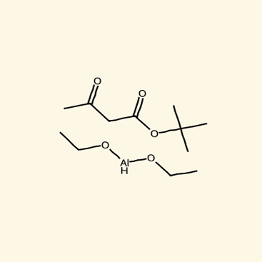 CC(=O)CC(=O)OC(C)(C)C.CC[O][AlH][O]CC